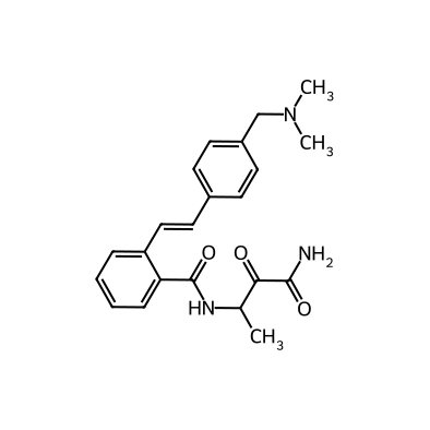 CC(NC(=O)c1ccccc1/C=C/c1ccc(CN(C)C)cc1)C(=O)C(N)=O